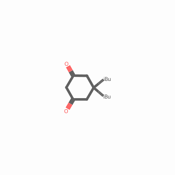 CCC(C)C1(C(C)CC)CC(=O)CC(=O)C1